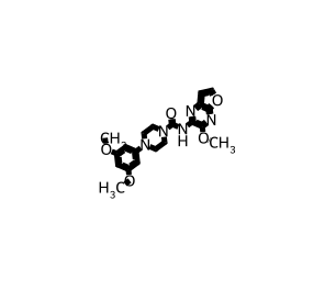 COc1cc(OC)cc(N2CCN(C(=O)Nc3nc4ccoc4nc3OC)CC2)c1